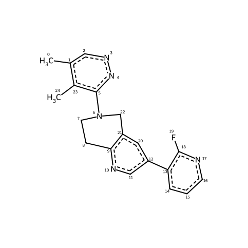 Cc1cnnc(N2CCc3ncc(-c4cccnc4F)cc3C2)c1C